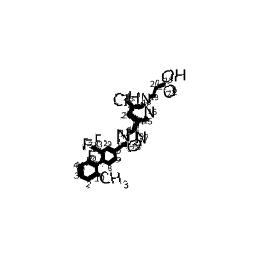 Cc1ccccc1-c1ccc(-c2nc(-c3cnc(NCCC(=O)O)c(Cl)c3)no2)cc1C(F)(F)F